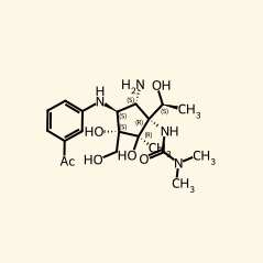 CC(=O)c1cccc(N[C@H]2[C@H](N)[C@@](NC(=O)N(C)C)([C@H](C)O)[C@@](C)(O)[C@@]2(O)CO)c1